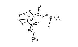 CCNC(=O)C12CC3CC(C1)CC(C(=O)OCC(C)F)(C3)C2